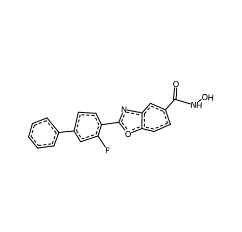 O=C(NO)c1ccc2oc(-c3ccc(-c4ccccc4)cc3F)nc2c1